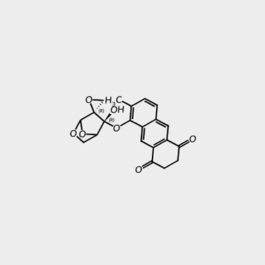 Cc1ccc2cc3c(cc2c1O[C@]1(O)C2COC(O2)[C@]12CO2)C(=O)CCC3=O